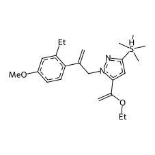 C=C(Cn1nc([SH](C)(C)(C)C)cc1C(=C)OCC)c1ccc(OC)cc1CC